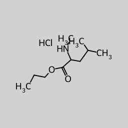 CCCOC(=O)C(CC(C)C)NC.Cl